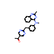 CC(=O)c1cnc(Cc2cccc(N(C)c3nc(C)nc4ccccc34)c2)nc1